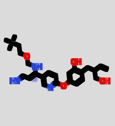 C=CC(CO)Cc1ccc(Oc2ccc(/C(=C/C=N)NCOCC[Si](C)(C)C)cn2)cc1O